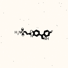 NS(=O)(=O)CCc1nc2cc(-c3c[nH]c4cc(F)ccc34)ccc2o1